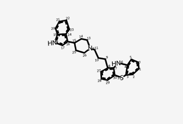 c1ccc2c(c1)Nc1c(CCCN3CCC(c4c[nH]c5ccccc45)CC3)cccc1S2